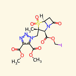 COC(=O)c1nnn(C[C@@]2(C)[C@H](C(=O)OCI)N3C(=O)C[C@@H]3S2(=O)=O)c1C(=O)OC